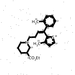 CCOC(=O)C1CCCN(CCC=C(c2ccccc2C)c2sccc2C)C1